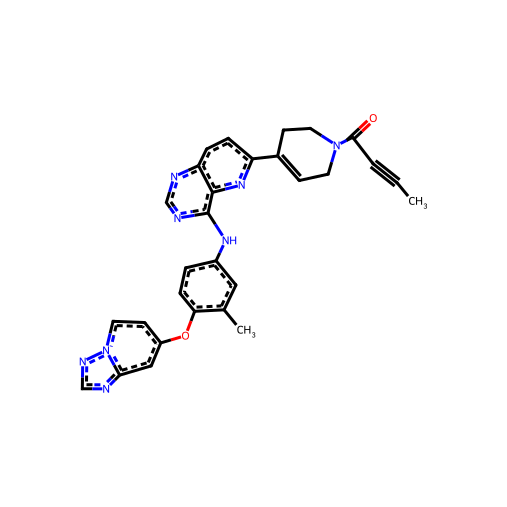 CC#CC(=O)N1CC=C(c2ccc3ncnc(Nc4ccc(Oc5ccn6ncnc6c5)c(C)c4)c3n2)CC1